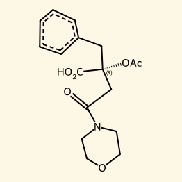 CC(=O)O[C@@](CC(=O)N1CCOCC1)(Cc1ccccc1)C(=O)O